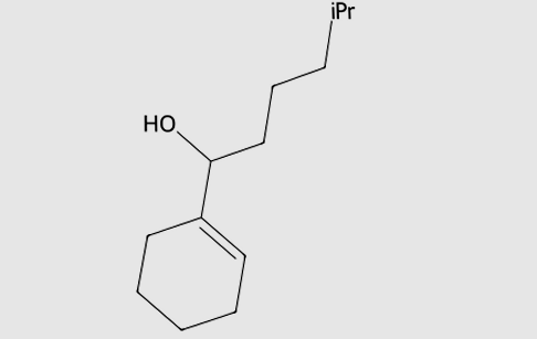 CC(C)CCCC(O)C1=CCCCC1